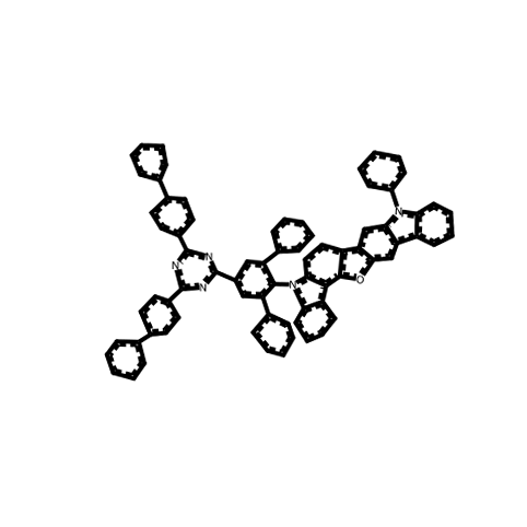 c1ccc(-c2ccc(-c3nc(-c4ccc(-c5ccccc5)cc4)nc(-c4cc(-c5ccccc5)c(-n5c6ccccc6c6c7oc8cc9c%10ccccc%10n(-c%10ccccc%10)c9cc8c7ccc65)c(-c5ccccc5)c4)n3)cc2)cc1